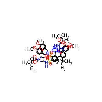 COc1ccc(CN(Cc2ccc(OC)cc2)S(=O)(=O)c2c(S(=O)(=O)N[C@H]3CN(C(=O)OC(C)(C)C)C[C@H]3O)ccc(-c3c(C(C)(C)C)ccc4c3nc(NC(=O)OC(C)(C)C)n4C(=O)O)c2-c2nnnn2Cc2ccc(OC)cc2)cc1